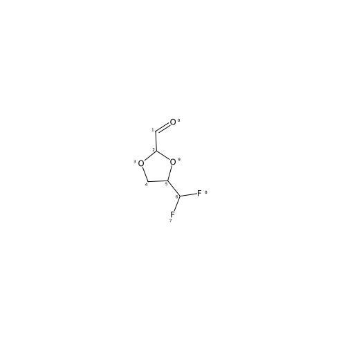 O=CC1OCC(C(F)F)O1